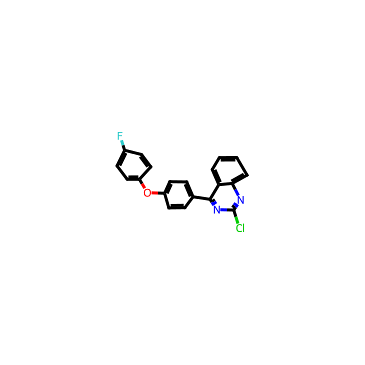 Fc1ccc(Oc2ccc(-c3nc(Cl)nc4ccccc34)cc2)cc1